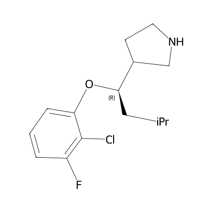 CC(C)C[C@@H](Oc1cccc(F)c1Cl)C1CCNC1